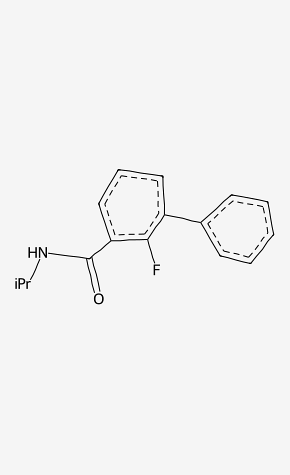 CC(C)NC(=O)c1cccc(-c2ccccc2)c1F